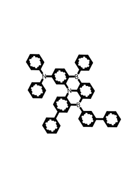 c1ccc(B2c3ccc(N(c4ccccc4)c4ccccc4)cc3N3c4ccc(-c5ccccc5)cc4B(c4cccc(-c5ccccc5)c4)c4cccc2c43)cc1